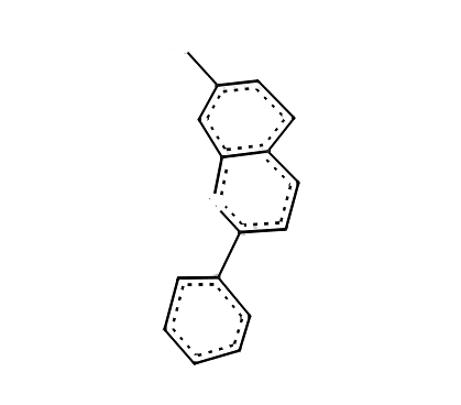 Clc1ccc2ccc(-c3cc[c]cc3)nc2c1